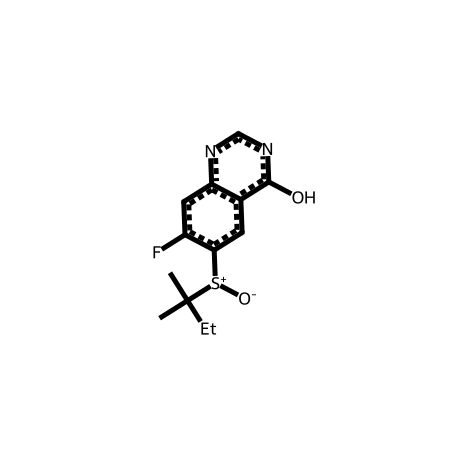 CCC(C)(C)[S+]([O-])c1cc2c(O)ncnc2cc1F